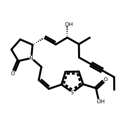 CCC#CCC(C)[C@@H](O)/C=C/[C@H]1CCC(=O)N1C/C=C\c1ccc(C(=O)O)s1